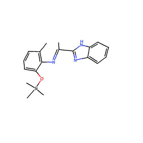 CC(=Nc1c(C)cccc1O[Si](C)(C)C)c1nc2ccccc2[nH]1